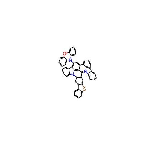 c1ccc2c(c1)Oc1ccccc1N2c1cc2c3c4c1c1ccccc1n4-c1cc4c(cc1B3n1c3ccccc3c3cccc-2c31)sc1ccccc14